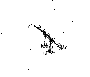 CCC/C=C/CCCCC(=O)CCCCCCCC(=O)OCC(COC(=O)CCOCC(COC(=O)CCCCCCCC(=O)OC)OC(=O)CCCCCCCC(=O)OC(N)CCC)OC(=O)CCCCCCCC(=O)ONCCCC